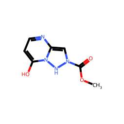 COC(=O)N1C=C2N=CC=C(O)N2N1